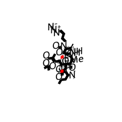 C=CC[C@](C[C@@H](C)CN[C@H](C)[C@H]1N(CCCCN=[N+]=[N-])C(=O)O[C@]1(C)[C@H](O)CC)(OC)[C@H](O[C@@H]1OC(C)CC(N(C)C)C1P=O)[C@@H](C)C1=C(C)C(=O)OC(C)(C)O1